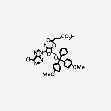 COc1ccc(C(OC[C@H]2O[C@@H](n3cnc4c(Cl)ncnc43)C(F)C2OC(=O)CCC(=O)O)(c2ccccc2)c2ccc(OC)cc2)cc1